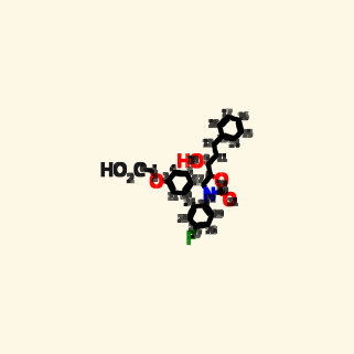 O=C(O)COc1ccc([C@@H]2[C@@H]([C@H](O)CCc3ccccc3)OC(=O)N2c2ccc(F)cc2)cc1